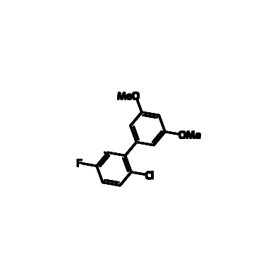 COc1cc(OC)cc(-c2[c]c(F)ccc2Cl)c1